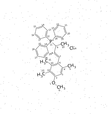 COc1cc(C)c(C=CC(C)[P+](c2ccccc2)(c2ccccc2)c2ccccc2)c(C)c1C.[Cl-]